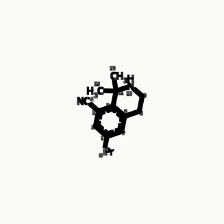 CC(C)c1cc(C#N)c2c(c1)CCNC2(C)C